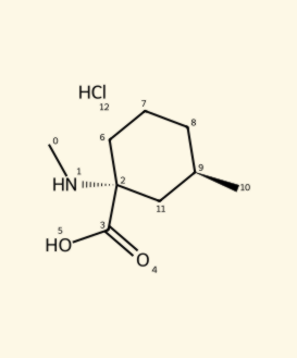 CN[C@]1(C(=O)O)CCC[C@@H](C)C1.Cl